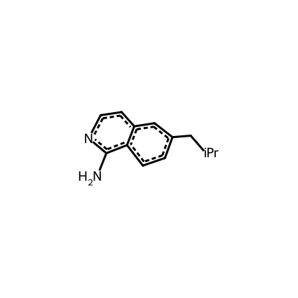 CC(C)Cc1ccc2c(N)nccc2c1